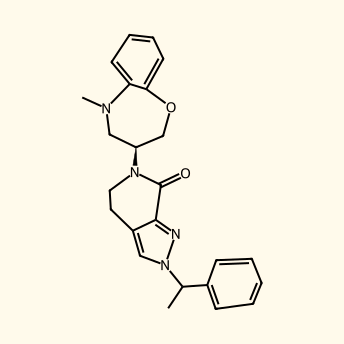 CC(c1ccccc1)n1cc2c(n1)C(=O)N([C@@H]1COc3ccccc3N(C)C1)CC2